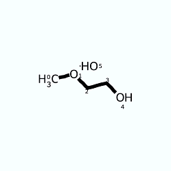 COCCO.[OH]